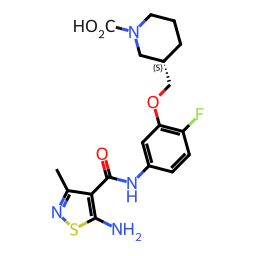 Cc1nsc(N)c1C(=O)Nc1ccc(F)c(OC[C@H]2CCCN(C(=O)O)C2)c1